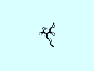 CCO/C=C(/C(=O)O)C(=O)COC